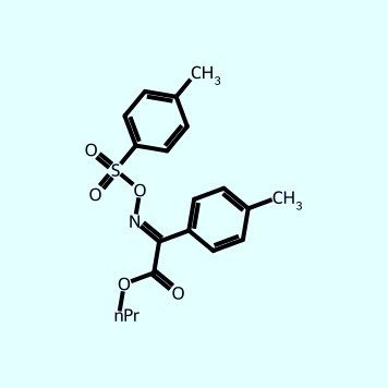 CCCOC(=O)C(=NOS(=O)(=O)c1ccc(C)cc1)c1ccc(C)cc1